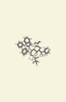 C=CCOC(=O)C(N1C(=O)[C@H]([C@@H](C)O[Si](C)(C)C(C)(C)C)[C@H]1[C@H]1CCCC(C(O)c2ccncc2)C1=O)=P(c1ccccc1)(c1ccccc1)c1ccccc1